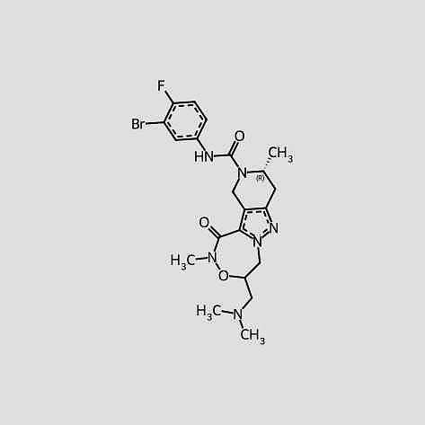 C[C@@H]1Cc2nn3c(c2CN1C(=O)Nc1ccc(F)c(Br)c1)C(=O)N(C)OC(CN(C)C)C3